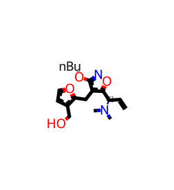 C=C[C@@H](c1onc(OCCCC)c1Cc1occc1CO)N(C)C